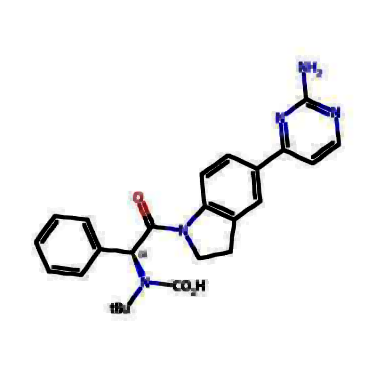 CC(C)(C)N(C(=O)O)[C@H](C(=O)N1CCc2cc(-c3ccnc(N)n3)ccc21)c1ccccc1